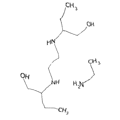 CCC(CO)NCCNC(CC)CO.CCN